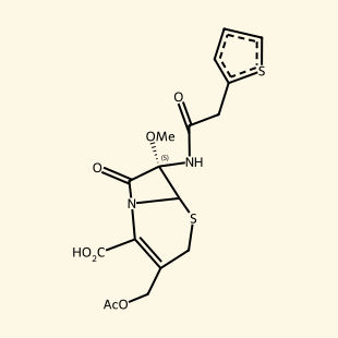 CO[C@@]1(NC(=O)Cc2cccs2)C(=O)N2C(C(=O)O)=C(COC(C)=O)CSC21